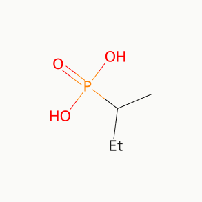 CCC(C)P(=O)(O)O